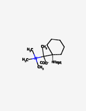 CCCCCCCC1(C(C)(C(=O)[O-])[N+](C)(C)C)CCCCC1